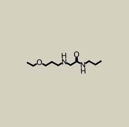 CCCNC(=O)CNCCCOCC